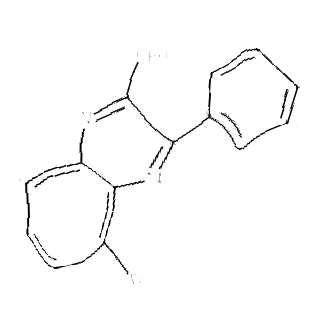 O=Cc1nc2cccc(Br)c2nc1-c1ccccc1